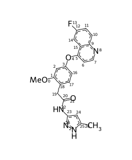 COc1cc(Oc2ccnc3ccc(F)cc23)ccc1CC(=O)Nc1cc(C)[nH]n1